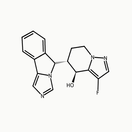 O[C@@H]1c2c(F)cnn2CC[C@H]1C1c2ccccc2-c2cncn21